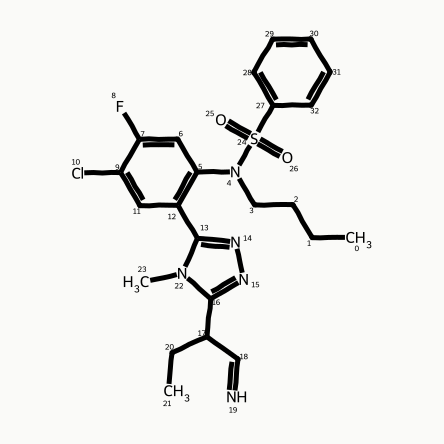 CCCCN(c1cc(F)c(Cl)cc1-c1nnc(C(C=N)CC)n1C)S(=O)(=O)c1ccccc1